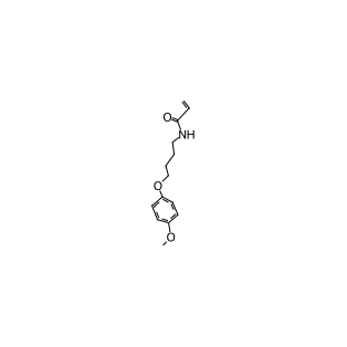 C=CC(=O)NCCCCOc1ccc(OC)cc1